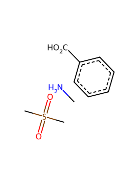 CN.CS(C)(=O)=O.O=C(O)c1ccccc1